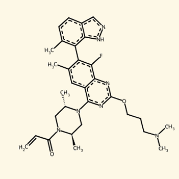 C=CC(=O)N1C[C@H](C)N(c2nc(OCCCN(C)C)nc3c(F)c(-c4c(C)ccc5cn[nH]c45)c(C)cc23)C[C@H]1C